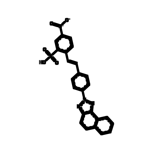 O=[N+]([O-])c1ccc(/C=C/c2ccc(-n3nc4ccc5ccccc5c4n3)cc2)c(S(=O)(=O)O)c1